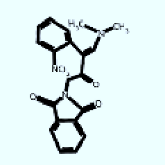 CN(C)C=C(C(=O)CN1C(=O)c2ccccc2C1=O)c1ccccc1[N+](=O)[O-]